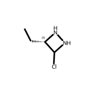 CC[C@@H]1NNC1Cl